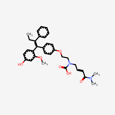 CCC(=C(c1ccc(OCCN(CC=CC(=O)N(C)C)C(=O)O)cc1)c1ccc(O)cc1OC)c1ccccc1